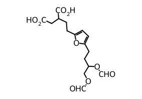 O=COCC(CCc1ccc(CCC(CC(=O)O)C(=O)O)o1)OC=O